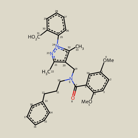 COc1ccc(OC)c(C(=O)N(CCCc2ccccc2)Cc2c(C)nn(-c3ccccc3C(=O)O)c2C)c1